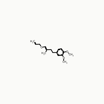 C=CCO/C=C(\C)CCc1ccc(OC)c(OC)c1